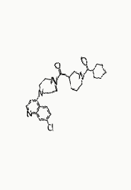 O=C(C1CCCN(C(=O)C2CCCCC2)C1)N1CCN(c2ccnc3cc(Cl)ccc23)CC1